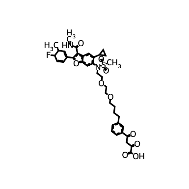 CNC(=O)c1c(C2=CC(C)C(F)C=C2)oc2cc(N(CCOCCOCCCCc3cccc(C(=O)CC(=O)C(=O)O)c3)S(C)(=O)=O)c(C3CC3)cc12